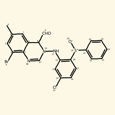 Cc1cc(Br)c2c(c1)C(C=O)N(Nc1cc(Cl)ccc1[S+]([O-])c1ccccc1)C=N2